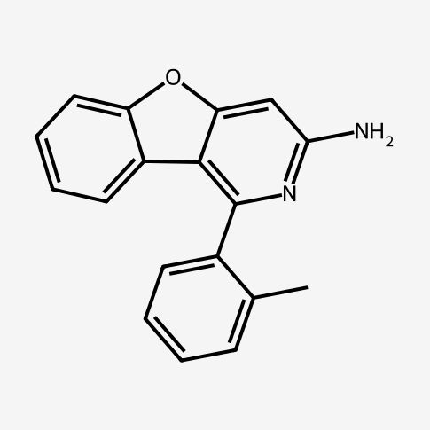 Cc1ccccc1-c1nc(N)cc2oc3ccccc3c12